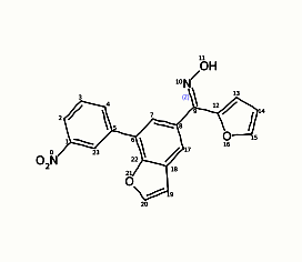 O=[N+]([O-])c1cccc(-c2cc(/C(=N/O)c3ccco3)cc3ccoc23)c1